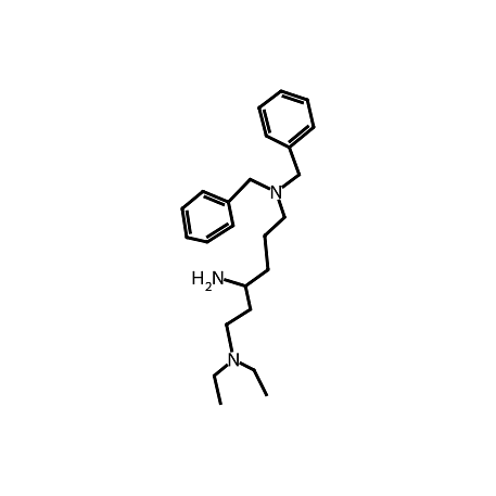 CCN(CC)CCC(N)CCCN(Cc1ccccc1)Cc1ccccc1